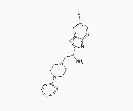 NC(CN1CCN(c2ccccn2)CC1)c1nc2ccc(F)cc2s1